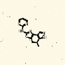 CC1Cc2sc(Nc3ncccn3)nc2-c2cn[nH]c21